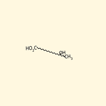 CC=CCC(O)CCCCCCCCCCCCCCCCC(=O)O